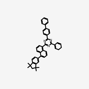 CC1(C)CC(C)(C)c2cc(-c3cccc4c(-c5nc(C6=CCCC=C6)nc(-c6ccc(-c7ccccc7)cc6)n5)cccc34)ccc21